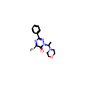 CC(C)c1nc(-c2ccccc2)nn(C(C)N2CCOCC2)c1=O